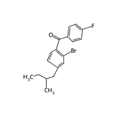 CCC(C)Cc1ccc(C(=O)c2ccc(F)cc2)c(Br)c1